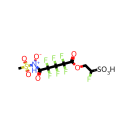 CS(=O)(=O)[NH+]([O-])C(=O)C(F)(F)C(F)(F)C(F)(F)C(=O)OCC(F)S(=O)(=O)O